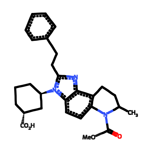 COC(=O)N1c2ccc3c(nc(CCc4ccccc4)n3[C@@H]3CCC[C@@H](C(=O)O)C3)c2CCC1C